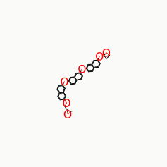 c1cc2ccc(Oc3ccc4ccc(Oc5ccc6ccc(OC7CCO7)cc6c5)cc4c3)cc2cc1OCC1CO1